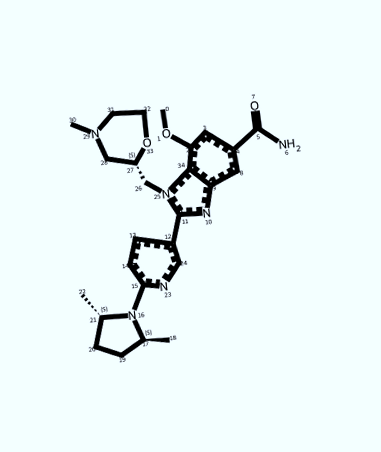 COc1cc(C(N)=O)cc2nc(-c3ccc(N4[C@@H](C)CC[C@@H]4C)nc3)n(C[C@@H]3CN(C)CCO3)c12